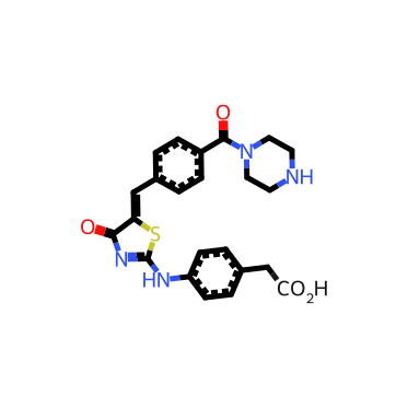 O=C(O)Cc1ccc(NC2=NC(=O)/C(=C/c3ccc(C(=O)N4CCNCC4)cc3)S2)cc1